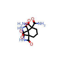 NC(=O)C1(C(N)=O)CCCC2(C(=O)NC2=O)C12C(=O)NC2=O